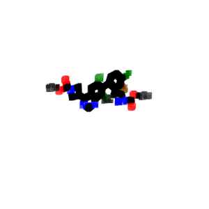 CC(C)(C)OC(=O)Nc1sc2c(F)ccc(-c3c(Cl)cc4c(C5CN(C(=O)OC(C)(C)C)C5)ncnc4c3F)c2c1C#N